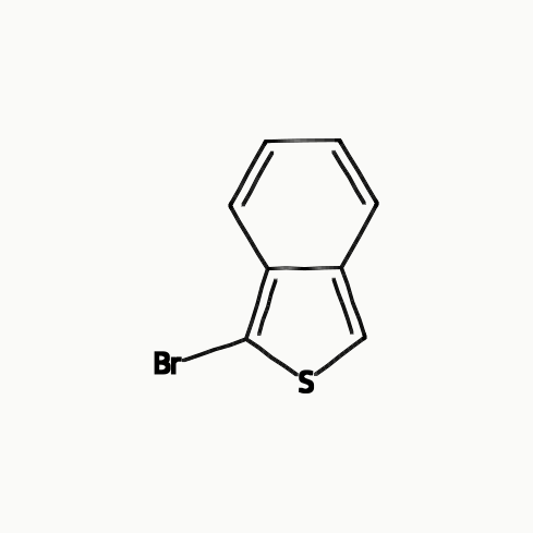 Brc1scc2ccccc12